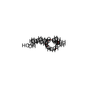 C=C1C[C@@H]2CC[C@]34OC([C@@H]5O[C@H]6CC[C@H](CC(=O)C[C@@H]7C[C@@H]8O[C@@H]9C[C@]%10(C[C@@H]%11O[C@@]%12(CC[C@@H]%11O%10)C[C@H](C)[C@@H]%10O[C@@H]%11C[C@@H]([C@@H](O)CO)O[C@@H]%11C[C@@H]%10O%12)O[C@@H]9C[C@@H]8O[C@H]7C[C@H]7O[C@@H](CC[C@@H]1O2)C[C@@H](C)C7=C)O[C@@H]6[C@H](O3)[C@@H]5I)C(O)(O)[C@H]4O